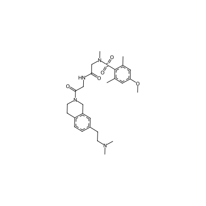 COc1cc(C)c(S(=O)(=O)N(C)CC(=O)NCC(=O)N2CCc3ccc(CCN(C)C)cc3C2)c(C)c1